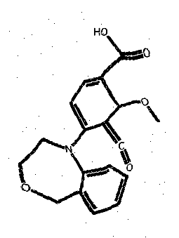 COC1C(=C=O)C(N2CCOCc3ccccc32)=CC=C1C(=O)O